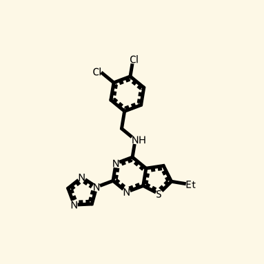 CCc1cc2c(NCc3ccc(Cl)c(Cl)c3)nc(-n3cncn3)nc2s1